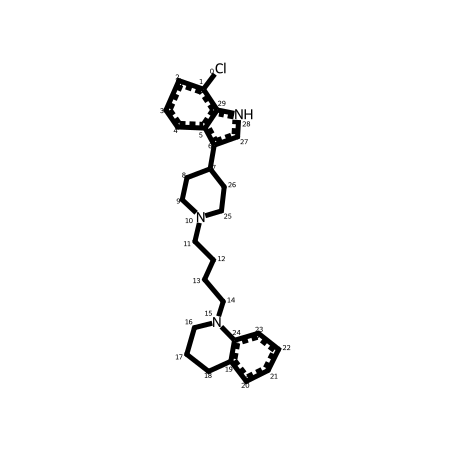 Clc1cccc2c(C3CCN(CCCCN4CCCc5ccccc54)CC3)c[nH]c12